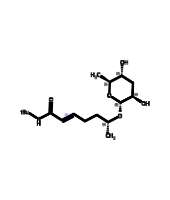 C[C@H](CC/C=C/C(=O)NC(C)(C)C)O[C@@H]1O[C@@H](C)[C@H](O)C[C@H]1O